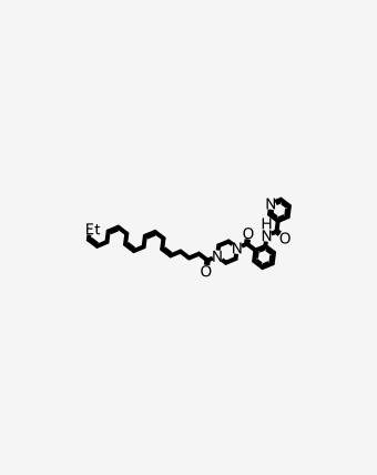 CC/C=C\C/C=C\C/C=C\C/C=C\C/C=C\CCCC(=O)N1CCN(C(=O)c2ccccc2NC(=O)c2cccnc2)CC1